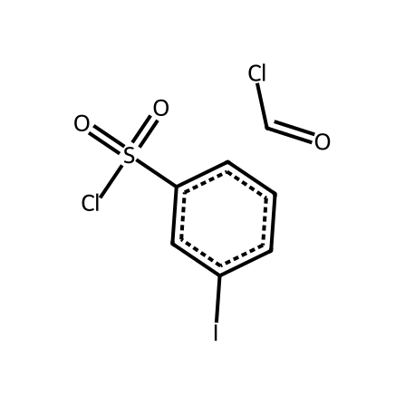 O=CCl.O=S(=O)(Cl)c1cccc(I)c1